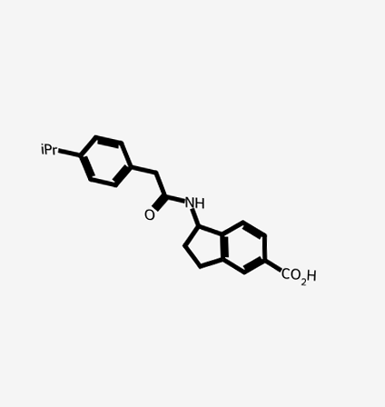 CC(C)c1ccc(CC(=O)NC2CCc3cc(C(=O)O)ccc32)cc1